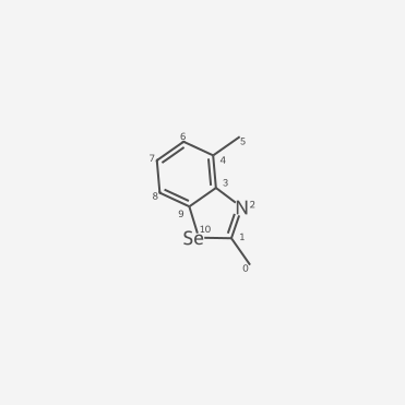 Cc1nc2c(C)cccc2[se]1